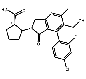 Cc1nc2c(c(-c3ccc(Cl)cc3Cl)c1CO)C(=O)N(C1CCC[C@H]1C(N)=O)C2